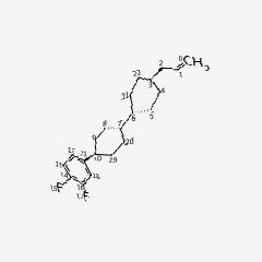 C=CC[C@H]1CC[C@H]([C@H]2CC[C@H](c3ccc(F)c(F)c3)CC2)CC1